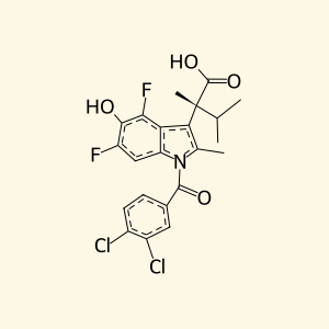 Cc1c([C@](C)(C(=O)O)C(C)C)c2c(F)c(O)c(F)cc2n1C(=O)c1ccc(Cl)c(Cl)c1